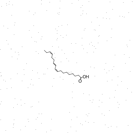 CC/C=C\CC/C=C/C=C\CCCCCCCC(=O)O